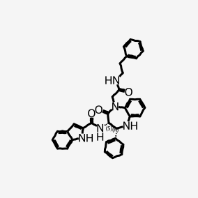 O=C(CN1C(=O)[C@@H](NC(=O)c2cc3ccccc3[nH]2)[C@@H](c2ccccc2)Nc2ccccc21)NCCc1ccccc1